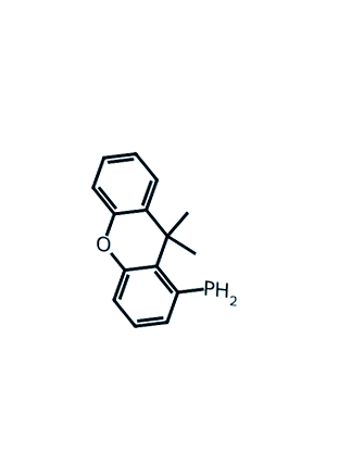 CC1(C)c2ccccc2Oc2cccc(P)c21